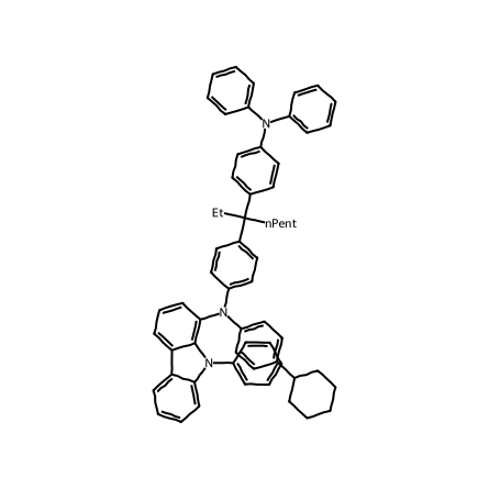 CCCCCC(CC)(c1ccc(N(c2ccccc2)c2ccccc2)cc1)c1ccc(N(c2ccc(C3CCCCC3)cc2)c2cccc3c4ccccc4n(-c4ccccc4)c23)cc1